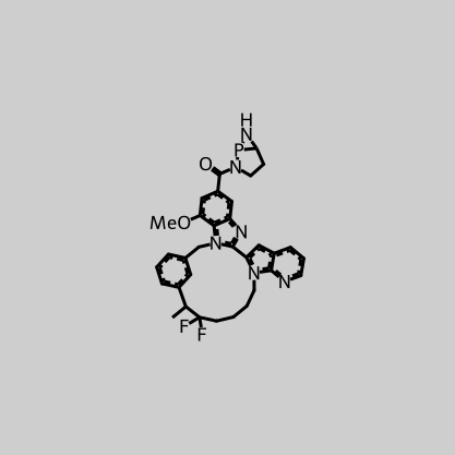 COc1cc(C(=O)N2CCC3NP32)cc2nc3n(c12)Cc1cccc(c1)C(C)C(F)(F)CCCCn1c-3cc2cccnc21